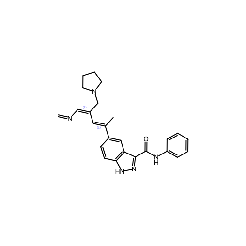 C=N/C=C(\C=C(/C)c1ccc2[nH]nc(C(=O)Nc3ccccc3)c2c1)CN1CCCC1